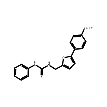 CCOC(=O)c1ccc(-c2ccc(CNC(=S)Nc3ccccc3)o2)cc1